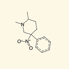 CC1CCC(c2ccccc2)([N+](=O)[O-])CN1C